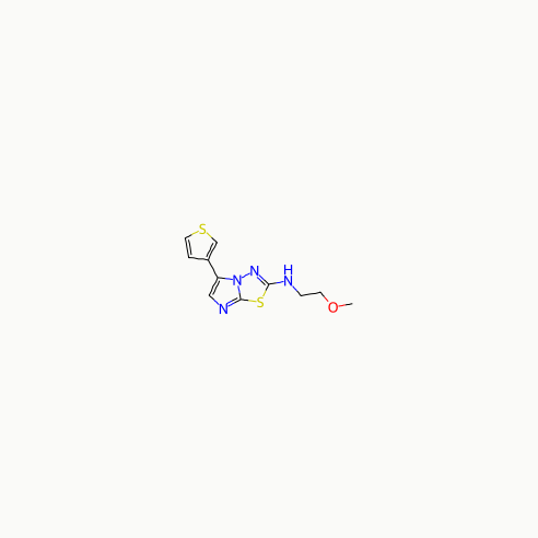 COCCNc1nn2c(-c3ccsc3)cnc2s1